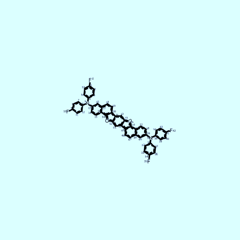 Fc1ccc(N(c2ccc(F)cc2)c2ccc3c(ccc4c5cc6oc7c8ccc(N(c9ccc(F)cc9)c9ccc(F)cc9)cc8ccc7c6cc5oc34)c2)cc1